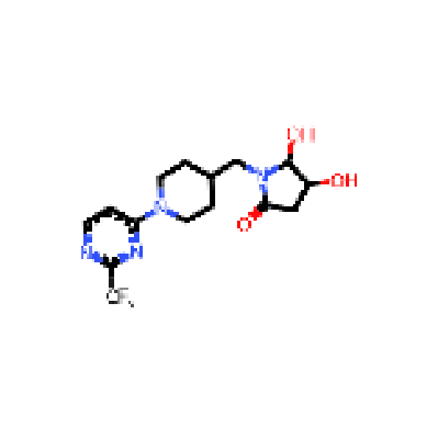 O=C1CC(O)C(O)N1CC1CCN(c2ccnc(C(F)(F)F)n2)CC1